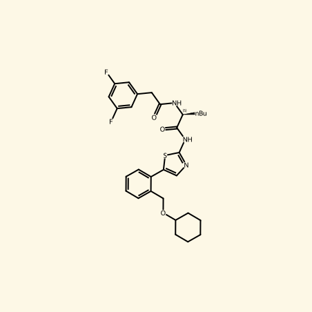 CCCC[C@H](NC(=O)Cc1cc(F)cc(F)c1)C(=O)Nc1ncc(-c2ccccc2COC2CCCCC2)s1